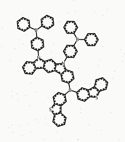 c1ccc(B(c2ccccc2)c2ccc(-n3c4ccccc4c4cc5c6cc(B(c7ccc8sc9ccccc9c8c7)c7ccc8sc9ccccc9c8c7)ccc6n(-c6ccc(B(c7ccccc7)c7ccccc7)cc6)c5cc43)cc2)cc1